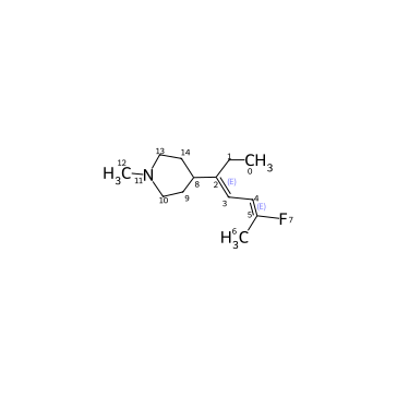 CC/C(=C\C=C(/C)F)C1CCN(C)CC1